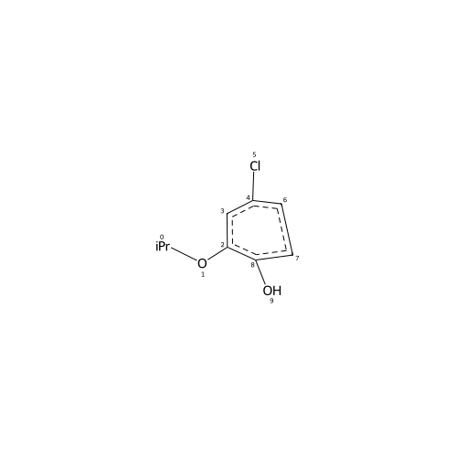 CC(C)Oc1cc(Cl)ccc1O